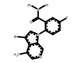 Cc1cncc2c1c(Br)cn2-c1ccc(F)cc1C(=O)N(C(C)C)C(C)C